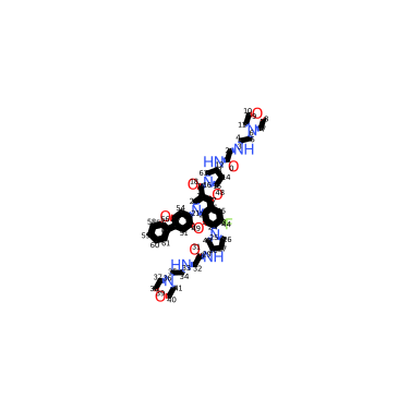 O=C(CNCCN1CCOCC1)N[C@@H]1CCN(C(=O)c2cn3c4c(c(N5CC[C@@H](NC(=O)CNCCN6CCOCC6)C5)c(F)cc4c2=O)Oc2cc4c(cc2-3)oc2ccccc24)C1